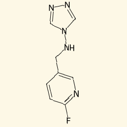 Fc1ccc(CNn2cnnc2)cn1